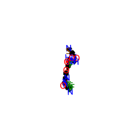 Cc1ncsc1-c1ccc(CNC(=O)C2CCCN2C(=O)C(NC(=O)c2ccc(COc3ccc(-c4ccc(N5C(=S)N(c6ccc(C#N)c(C(F)(F)F)c6F)C(=O)C5(C)C)cn4)cc3)cc2F)C(C)(C)C)cc1